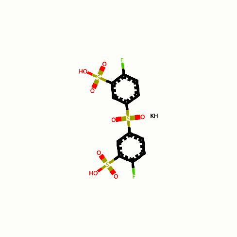 O=S(=O)(O)c1cc(S(=O)(=O)c2ccc(F)c(S(=O)(=O)O)c2)ccc1F.[KH]